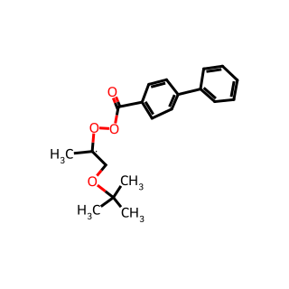 C[C](COC(C)(C)C)OOC(=O)c1ccc(-c2ccccc2)cc1